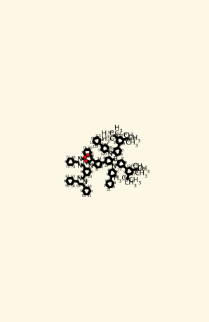 CC(C)(C)c1cc(-c2ccc3c(c2)N(c2ccc(-c4ccccc4)cc2)c2cc(-c4ccc5c(c4)c4ccccc4n5-c4ccc(-c5nc(-c6ccccc6)cc(-c6ccccc6)n5)cc4-c4nc(-c5ccccc5)nc(-c5ccccc5)n4)cc4c2B3c2ccc(-c3cc(C(C)(C)C)cc(C(C)(C)C)c3)cc2N4c2ccc(-c3ccccc3)cc2)cc(C(C)(C)C)c1